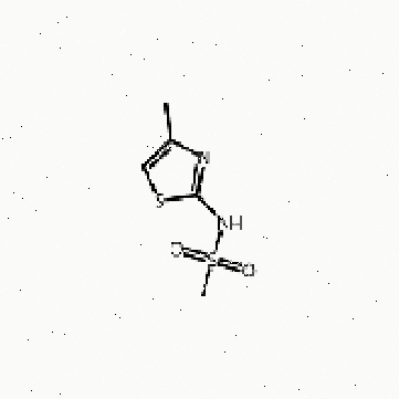 Cc1csc(NS(C)(=O)=O)n1